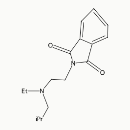 CCN(CCN1C(=O)c2ccccc2C1=O)CC(C)C